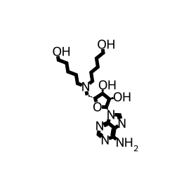 Nc1ncnc2c1ncn2[C@@H]1O[C@H](CN(CCCCCO)CCCCCO)[C@@H](O)[C@H]1O